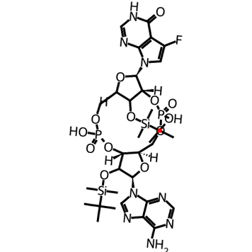 CC(C)(C)[Si](C)(C)OC1[C@H]2OP(=O)(O)OC[C@H]3O[C@@H](n4cnc5c(N)ncnc54)C(O[Si](C)(C)C(C)(C)C)[C@@H]3OP(=O)(O)OC[C@H]1O[C@H]2n1cc(F)c2c(=O)[nH]cnc21